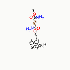 C=CCOC(=O)C(N)CSSC[C@H](N)C(=O)OCC=C.Cc1ccc(S(=O)(=O)O)cc1.Cc1ccc(S(=O)(=O)O)cc1